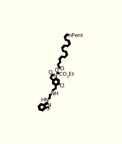 CCCCC/C=C\C/C=C\C/C=C\C/C=C\C/C=C\CCC(=O)OC(C(=O)OCC)N1C(=O)Cc2cc(CCNCCNc3nsc4ccccc34)c(Cl)cc21